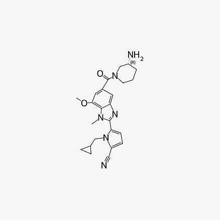 COc1cc(C(=O)N2CCC[C@@H](N)C2)cc2nc(-c3ccc(C#N)n3CC3CC3)n(C)c12